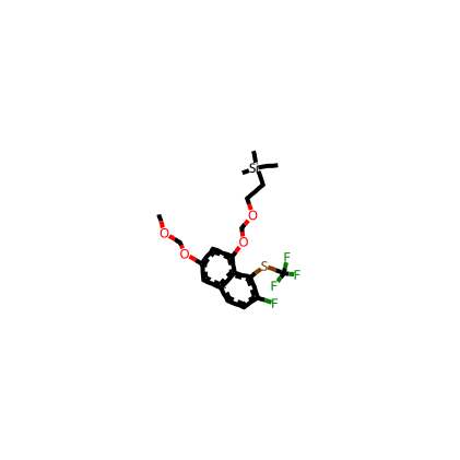 COCOc1cc(OCOCC[Si](C)(C)C)c2c(SC(F)(F)F)c(F)ccc2c1